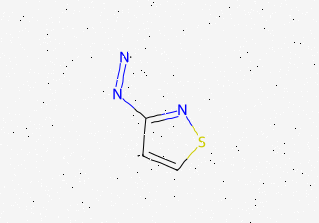 [N]=Nc1[c]csn1